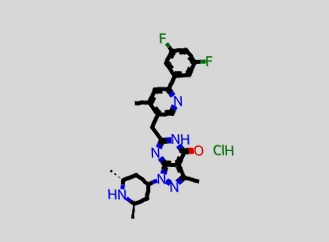 Cc1cc(-c2cc(F)cc(F)c2)ncc1Cc1nc2c(c(C)nn2C2C[C@@H](C)N[C@H](C)C2)c(=O)[nH]1.Cl